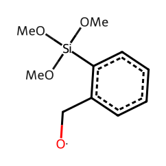 CO[Si](OC)(OC)c1ccccc1C[O]